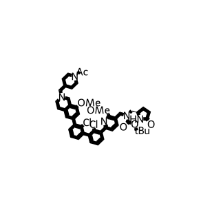 COc1cc(-c2cccc(-c3cccc(-c4ccc(CN(C[C@@H]5CCC(=O)N5)C(=O)OC(C)(C)C)c(OC)n4)c3Cl)c2Cl)cc2c1CN(CC1CCN(C(C)=O)CC1)CC2